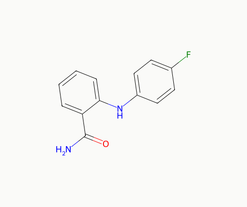 NC(=O)c1ccccc1Nc1ccc(F)cc1